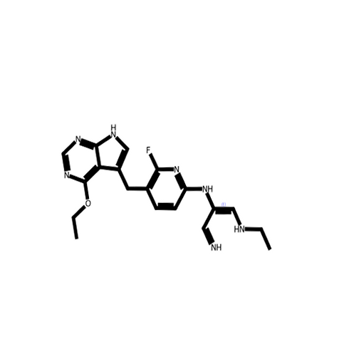 CCN/C=C(\C=N)Nc1ccc(Cc2c[nH]c3ncnc(OCC)c23)c(F)n1